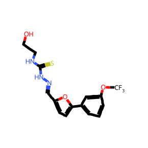 OCCNC(=S)NN=Cc1ccc(-c2cccc(OC(F)(F)F)c2)o1